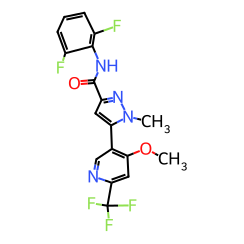 COc1cc(C(F)(F)F)ncc1-c1cc(C(=O)Nc2c(F)cccc2F)nn1C